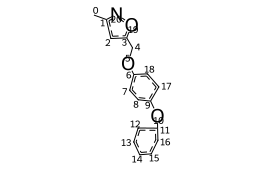 Cc1cc(COc2ccc(Oc3ccccc3)cc2)on1